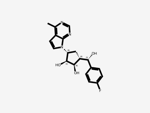 Cc1ncnc2c1ccn2[C@@H]1C[C@H]([C@H](O)c2ccc(F)cc2)[C@@H](O)[C@H]1O